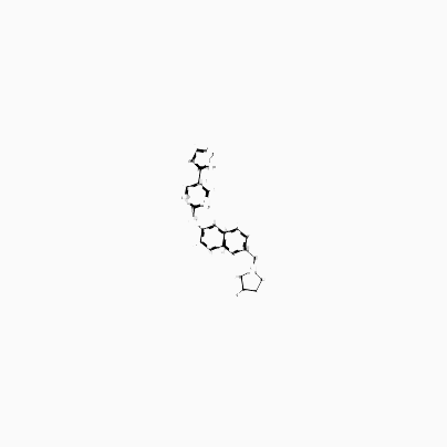 OC1CCN(Cc2ccc3cc(Oc4ncc(-c5ccn[nH]5)cn4)ccc3c2)C1